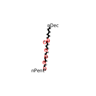 CCCCCCCCCCCCCCCCOC(=O)CCCOCCOCCOCCOCCCCC